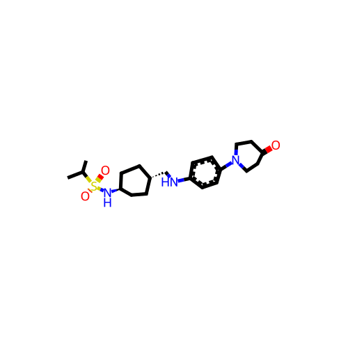 CC(C)S(=O)(=O)N[C@H]1CC[C@H](CNc2ccc(N3CCC(=O)CC3)cc2)CC1